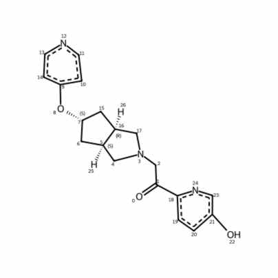 O=C(CN1C[C@H]2C[C@H](Oc3ccncc3)C[C@H]2C1)c1ccc(O)cn1